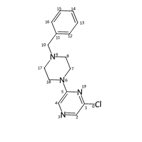 Clc1cncc(N2CCN(Cc3ccccc3)CC2)n1